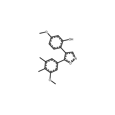 COc1ccc(-c2cnoc2-c2cc(C)c(C)c(OC)c2)c(O)c1